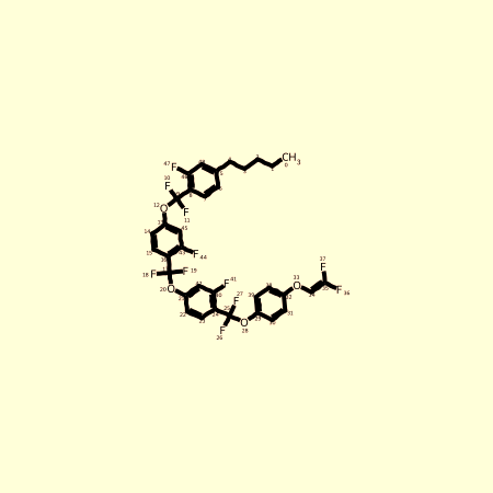 CCCCCc1ccc(C(F)(F)Oc2ccc(C(F)(F)Oc3ccc(C(F)(F)Oc4ccc(OC=C(F)F)cc4)c(F)c3)c(F)c2)c(F)c1